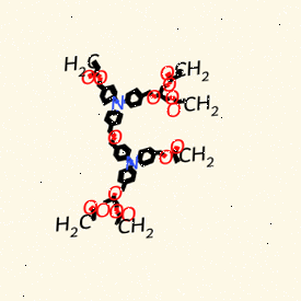 C=CC(=O)OCc1ccc(N(c2ccc(COCc3ccc(N(c4ccc(COC(=O)C=C)cc4)c4ccc(COC(COC(=O)C=C)COC(=O)C=C)cc4)cc3)cc2)c2ccc(COC(COC(=O)C=C)COC(=O)C=C)cc2)cc1